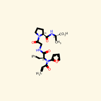 C=CC(=O)N(c1ccco1)[C@@H](CC(C)C)C(=O)NCC(=O)N1CCC[C@H]1C(=O)N[C@@H](C)C(=O)O